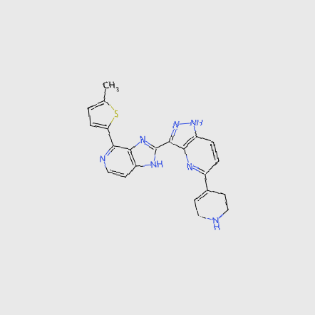 Cc1ccc(-c2nccc3[nH]c(-c4n[nH]c5ccc(C6=CCNCC6)nc45)nc23)s1